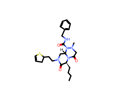 CCCC[C@H]1C(=O)N(CCC2CC=CS2)C[C@H]2N1C(=O)CN(C)N2C(=O)NCc1ccccc1